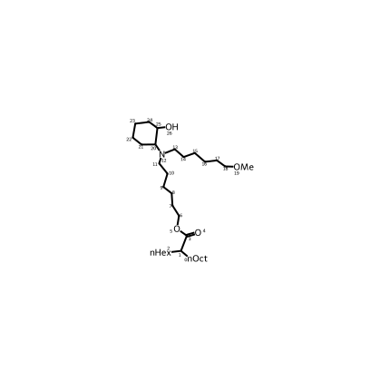 CCCCCCCCC(CCCCCC)C(=O)OCCCCCCN(CCCCCCOC)C1CCCCC1O